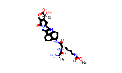 CC[C@@]1(O)C(=O)OCc2c1cc1n(c2=O)Cc2c-1nc1ccc(NC(=O)[C@H](CCCCNC(=O)OC(C)(C)C)NC(=O)[C@@H](N)C(C)C)c3c1c2CCC3